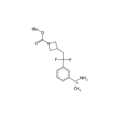 C[C@@H](N)c1cccc(C(F)(F)CC2CN(C(=O)OC(C)(C)C)C2)c1